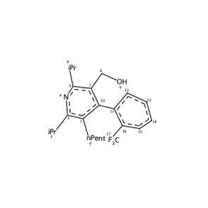 CCCCCc1c(C(C)C)nc(C(C)C)c(CO)c1-c1ccccc1C(F)(F)F